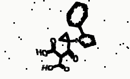 O=C(O)C(C(=O)O)C(=O)C1(n2cccc2-c2ccccc2)CC1